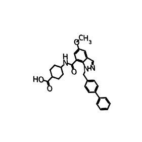 COc1cc(C(=O)NC2CCC(C(=O)O)CC2)c2c(cnn2Cc2ccc(-c3ccccc3)cc2)c1